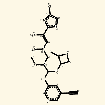 C#Cc1cncc(SC(OC2COC2C)[C@H](CN(N)/C=C(\N)c2nc(Cl)cs2)OC)c1